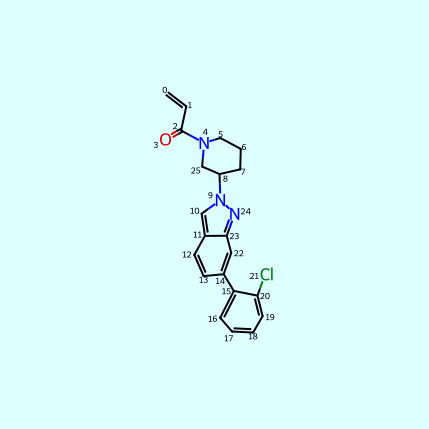 C=CC(=O)N1CCCC(n2cc3ccc(-c4ccccc4Cl)cc3n2)C1